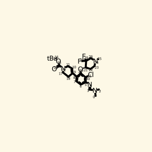 CN(C)/C=N/c1ccc(C2=CCN(C(=O)OC(C)(C)C)CC2)c(O[C@@H]2CCN(C)CC2(F)F)c1Cl